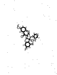 COc1ccc2nnn([C@H](C)[C@](O)(Cn3cncn3)c3ccc(F)cc3F)c(=O)c2c1